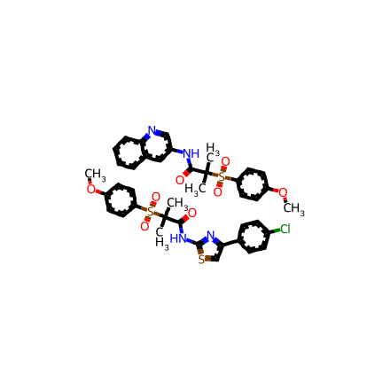 COc1ccc(S(=O)(=O)C(C)(C)C(=O)Nc2cnc3ccccc3c2)cc1.COc1ccc(S(=O)(=O)C(C)(C)C(=O)Nc2nc(-c3ccc(Cl)cc3)cs2)cc1